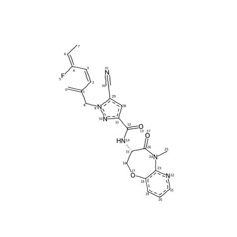 C=C(/C=C\C(F)=C/C)Cn1nc(C(=O)N[C@H]2COc3cccnc3N(C)C2=O)cc1C#N